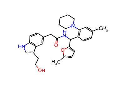 Cc1ccc(C(NC(=O)Cc2ccc3[nH]cc(CCO)c3c2)c2ccc(C)o2)c(N2CCCCC2)c1